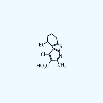 CCC1CCCc2sc3nc(C)c(C(=O)O)c(Cl)c3c21